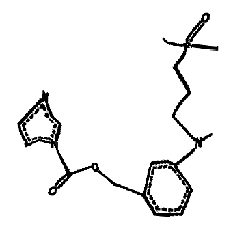 CN(CCCP(C)(C)=O)c1cccc(COC(=O)n2ccnc2)c1